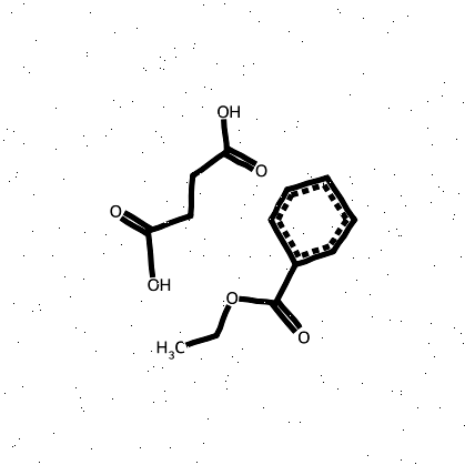 CCOC(=O)c1ccccc1.O=C(O)CCC(=O)O